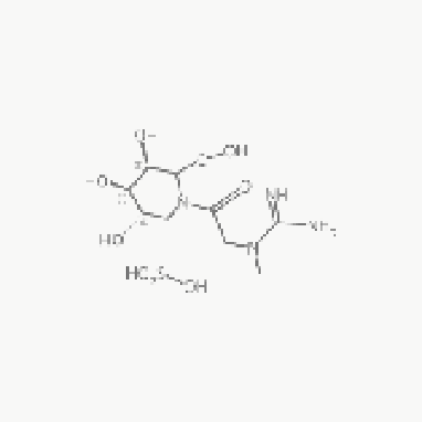 CN(CC(=O)N1C[C@H](O)[C@@H](O)[C@@H](O)C1CO)C(=N)N.O=S(=O)(O)O